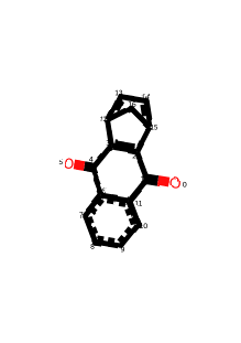 O=C1C2=C(C(=O)c3ccccc31)C1=CC=C2C1